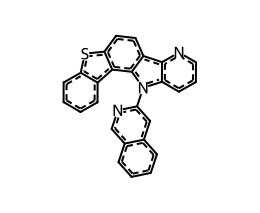 c1ccc2cc(-n3c4cccnc4c4ccc5sc6ccccc6c5c43)ncc2c1